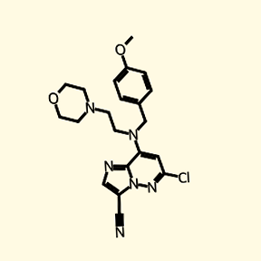 COc1ccc(CN(CCN2CCOCC2)c2cc(Cl)nn3c(C#N)cnc23)cc1